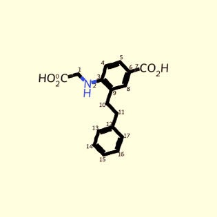 O=C(O)CNc1ccc(C(=O)O)cc1CCc1ccccc1